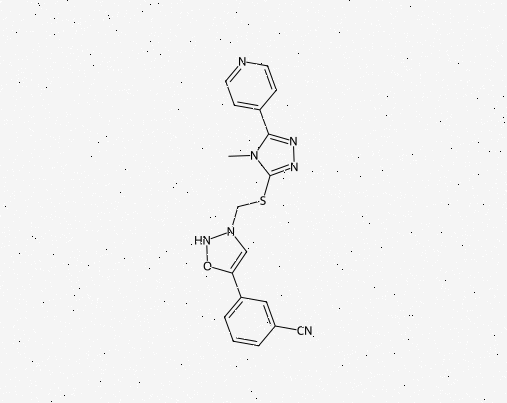 Cn1c(SCN2C=C(c3cccc(C#N)c3)ON2)nnc1-c1ccncc1